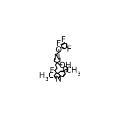 COc1ccc2ncc(C)c([C@@H](F)CCC3(CO)CCN(CCOc4cc(F)cc(F)c4F)CC3)c2c1